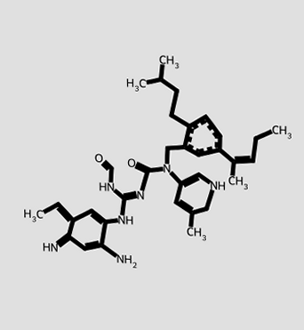 C/C=C1/C=C(N/C(=N/C(=O)N(Cc2cc(/C(C)=C\CC)ccc2CCC(C)C)C2=CNCC(C)=C2)NC=O)C(N)=CC1=N